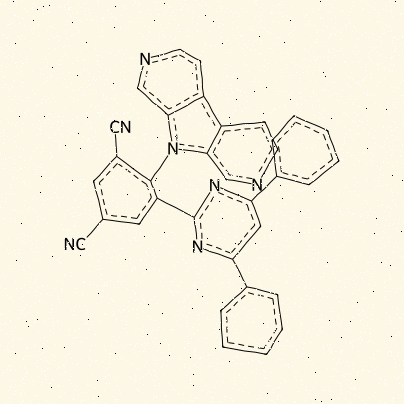 N#Cc1cc(C#N)c(-n2c3cnccc3c3ccncc32)c(-c2nc(-c3ccccc3)cc(-c3ccccc3)n2)c1